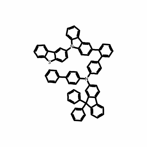 c1ccc(-c2ccc(N(c3ccc(-c4ccccc4-c4ccc5c(c4)c4ccccc4n5-c4ccc5sc6ccccc6c5c4)cc3)c3ccc4c(c3)C(c3ccccc3)(c3ccccc3)c3ccccc3-4)cc2)cc1